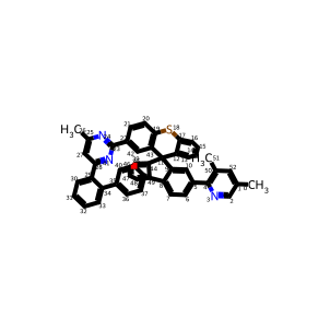 Cc1cnc(-c2ccc3c(c2)C2(c4ccccc4Sc4ccc(-c5nc(C)cc(-c6ccccc6-c6ccccc6)n5)cc42)c2ccccc2-3)c(C)c1